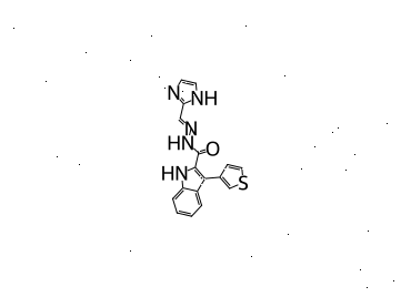 O=C(NN=Cc1ncc[nH]1)c1[nH]c2ccccc2c1-c1ccsc1